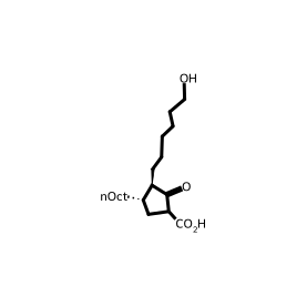 CCCCCCCC[C@H]1CC(C(=O)O)C(=O)[C@@H]1CCCCCCO